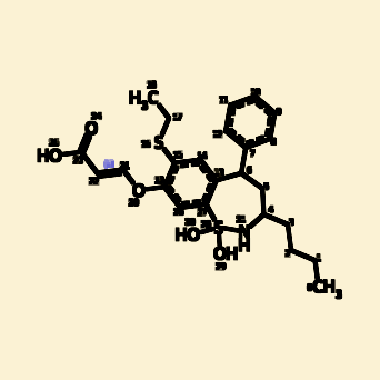 CCCCC1CC(c2ccccc2)c2cc(SCC)c(O/C=C/C(=O)O)cc2S(O)(O)N1